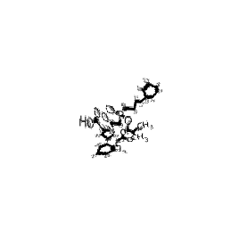 CCC(=O)O[C@H](OP(=O)(CCCCc1ccccc1)CC(=O)N1C[C@H](c2ccccc2)C[C@H]1C(=O)O)C(C)C